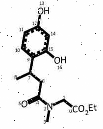 CCOC(=O)CN(C)C(=O)CC(C)c1ccc(O)cc1O